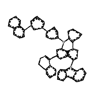 C1=C(c2cccc(N(c3ccc(-c4cccc(-c5cccc6ccccc56)c4)cc3)c3ccccc3-c3ccc(-n4c5ccccc5c5ccccc54)cc3)c2)c2ccccc2CC1